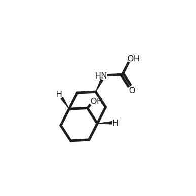 O=C(O)N[C@@H]1C[C@H]2CCC[C@@H](C1)C2O